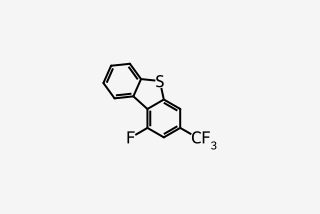 Fc1cc(C(F)(F)F)cc2sc3ccccc3c12